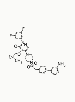 CC1(COc2c(N3CCN(S(=O)(=O)Cc4ccc(-c5ccnc(N)c5)cc4)CC3)cnn(-c3cc(F)cc(F)c3)c2=O)CC1